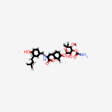 COC1C(OC(N)=O)C(O)C(Oc2ccc3cc(NCc4ccc(O)c(CC=C(C)C)c4)c(=O)oc3c2C)OC1(C)C